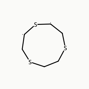 [CH]1CSCCSC[CH]S1